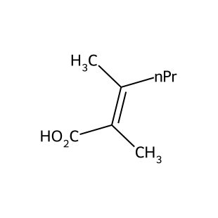 CCCC(C)=C(C)C(=O)O